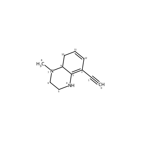 C#CC1=C2NCCN(C)C2CC=C1